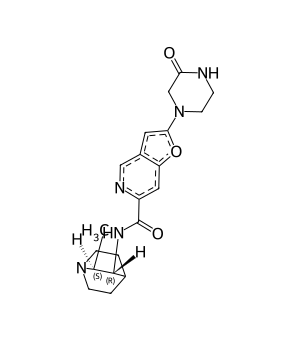 C[C@H]1[C@H](NC(=O)c2cc3oc(N4CCNC(=O)C4)cc3cn2)C2CCN1CC2